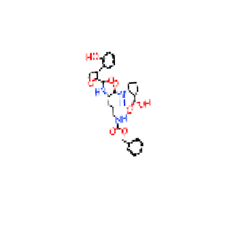 O=C(NCCC[C@H](NC(=O)c1occc1-c1ccccc1O)C(=O)N[C@H]1CCC[C@H]1C(=O)O)OCc1ccccc1